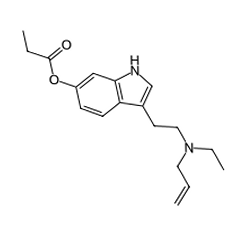 C=CCN(CC)CCc1c[nH]c2cc(OC(=O)CC)ccc12